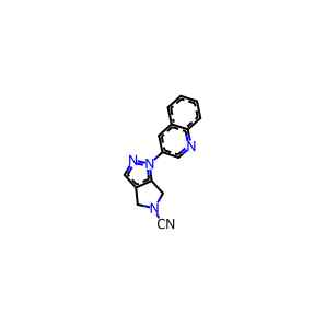 N#CN1Cc2cnn(-c3cnc4ccccc4c3)c2C1